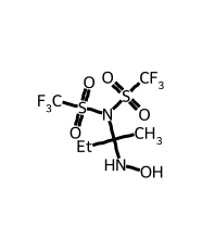 CCC(C)(NO)N(S(=O)(=O)C(F)(F)F)S(=O)(=O)C(F)(F)F